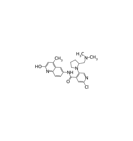 Cc1cc(O)nc2ccc(NC(=O)c3cc(Cl)ncc3N3CCCC3CN(C)C)cc12